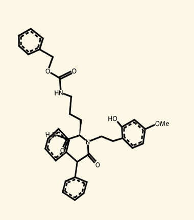 COc1ccc(CCN(C(=O)C(c2ccccc2)c2ccccc2)[C@H](CCCNC(=O)OCc2ccccc2)C(N)=O)c(O)c1